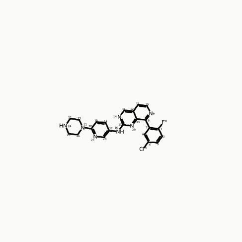 Fc1ccc(Cl)cc1-c1nccc2cnc(Nc3ccc(N4CCNCC4)nc3)nc12